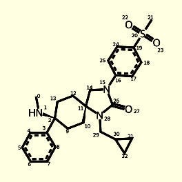 CN[C@]1(c2ccccc2)CC[C@@]2(CC1)CN(c1ccc(S(C)(=O)=O)cc1)C(=O)N2CC1CC1